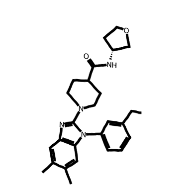 CCc1cccc(-n2c(N3CCC(C(=O)N[C@@H]4CCOC4)CC3)nc3cc(C)c(C)cc32)c1